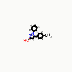 Cc1ccc(-c2cc(O)nn2-c2ccccc2)cc1